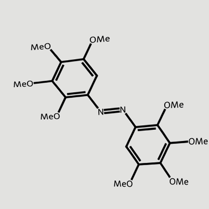 COc1cc(/N=N/c2cc(OC)c(OC)c(OC)c2OC)c(OC)c(OC)c1OC